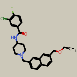 CCOCc1ccc2ccc(CN3CCC(NC(=O)c4ccc(F)c(Cl)c4)CC3)cc2c1